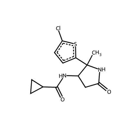 CC1(c2ccc(Cl)s2)NC(=O)CC1NC(=O)C1CC1